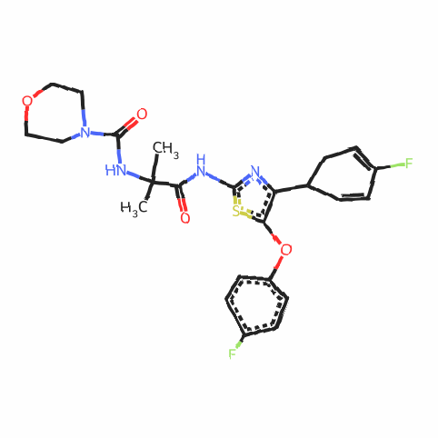 CC(C)(NC(=O)N1CCOCC1)C(=O)Nc1nc(C2C=CC(F)=CC2)c(Oc2ccc(F)cc2)s1